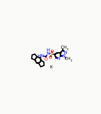 Cc1nn(C)c2ncc(S(=O)(=O)NC(=O)Nc3c4c(cc5c3CCC5)CCC4)cc12.[K]